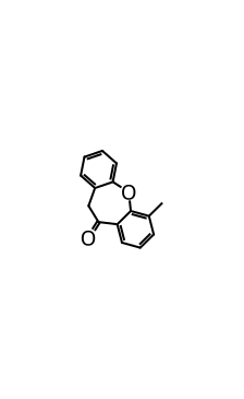 Cc1cccc2c1Oc1ccccc1CC2=O